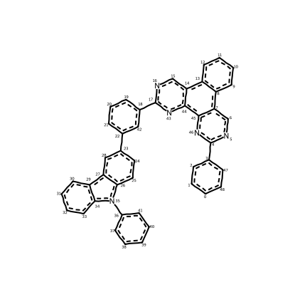 c1ccc(-c2ncc3c4ccccc4c4cnc(-c5cccc(-c6ccc7c(c6)c6ccccc6n7-c6ccccc6)c5)nc4c3n2)cc1